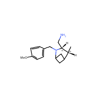 COc1ccc(CN2C3CC(C3)[C@@H](C)[C@H]2CN)cc1